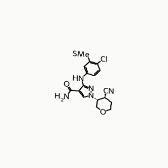 CSc1cc(Nc2nn([C@H]3COCC[C@@H]3C#N)cc2C(N)=O)ccc1Cl